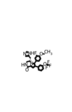 CCOc1ccc(-c2c(-c3cccc(OC(F)(F)F)c3)cc3n2[C@@H](Cc2cnc[nH]2)CNC3=O)cc1F